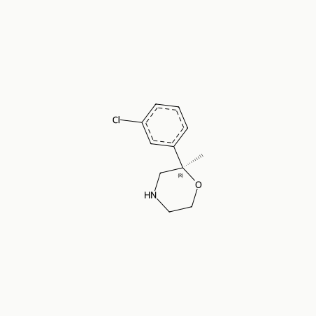 C[C@@]1(c2cccc(Cl)c2)CNCCO1